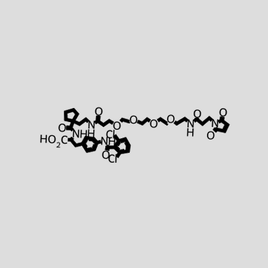 O=C(CCOCCOCCOCCOCCNC(=O)CCN1C(=O)C=CC1=O)NCCC1(C(=O)NC(Cc2ccc(NC(=O)c3c(Cl)cccc3Cl)cc2)C(=O)O)CCCC1